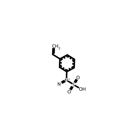 C=Cc1cccc([N+](=[N-])S(=O)(=O)O)c1